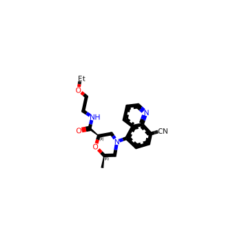 CCOCCNC(=O)[C@H]1CN(c2ccc(C#N)c3ncccc23)C[C@@H](C)O1